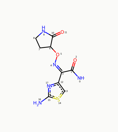 [NH]C(=O)/C(=N\OC1CCNC1=O)c1csc(N)n1